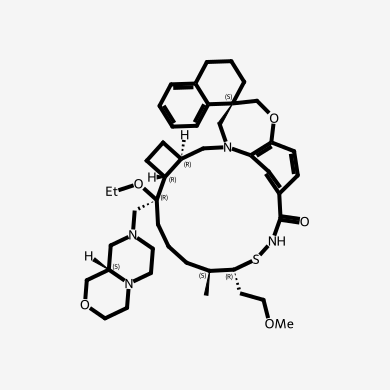 CCO[C@]1(CN2CCN3CCOC[C@@H]3C2)CCC[C@H](C)[C@@H](CCOC)SNC(=O)c2ccc3c(c2)N(C[C@@H]2CC[C@H]21)C[C@@]1(CCCc2ccccc21)CO3